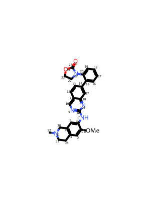 COc1cc2c(cc1Nc1ncc3ccc(-c4ccccc4N4CCOC4=O)cc3n1)CN(C)CC2